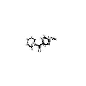 CNc1ccc(C(=O)N2CCCCC2)nc1